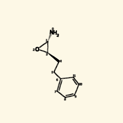 N[C@H]1O[C@@H]1CCc1ccccc1